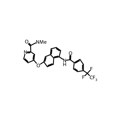 CNC(=O)c1cc(Oc2ccc3c(NC(=O)c4ccc(C(F)(F)C(F)(F)F)cc4)cccc3c2)ccn1